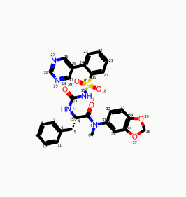 CN(C(=O)[C@H](Cc1ccccc1)NC(=O)NS(=O)(=O)c1ccccc1-c1cncnc1)c1ccc2c(c1)OCO2